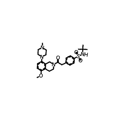 COc1ccc(N2CCN(C)CC2)c2c1CCN(C(=O)Cc1ccc(S(=O)(=O)NC(C)(C)C)cc1)C2